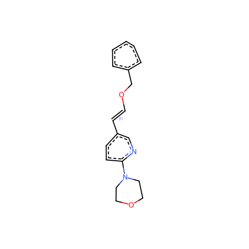 C(=C\c1ccc(N2CCOCC2)nc1)/OCc1ccccc1